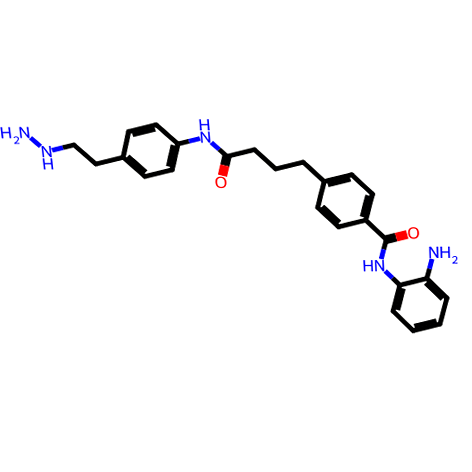 NNCCc1ccc(NC(=O)CCCc2ccc(C(=O)Nc3ccccc3N)cc2)cc1